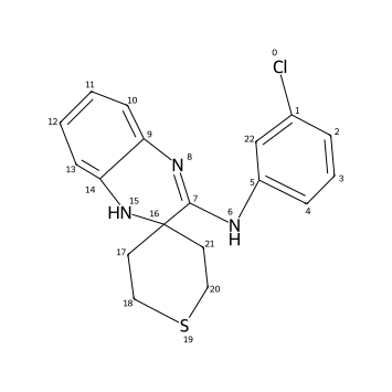 Clc1cccc(NC2=Nc3ccccc3NC23CCSCC3)c1